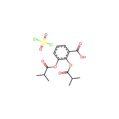 CC(C)C(=O)Oc1cccc(C(=O)O)c1OC(=O)C(C)C.O=S(=O)(Cl)Cl